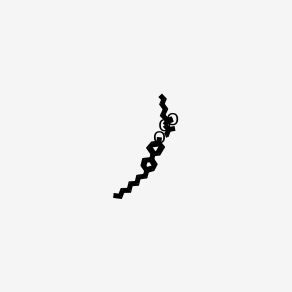 CCCCCCCCc1ccc(-c2ccc(OCC(C)OC(=O)CCCCC)cc2)cc1